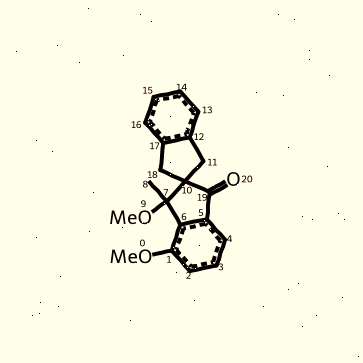 COc1cccc2c1C(C)(OC)C1(Cc3ccccc3C1)C2=O